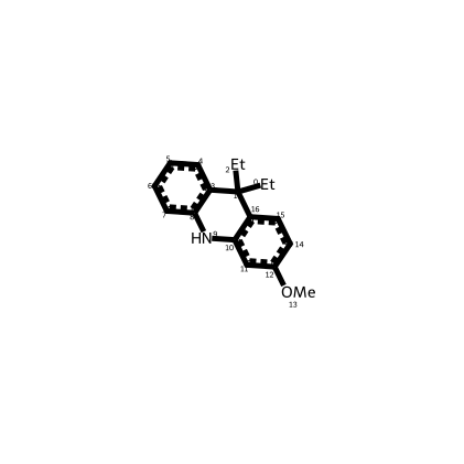 CCC1(CC)c2ccccc2Nc2cc(OC)ccc21